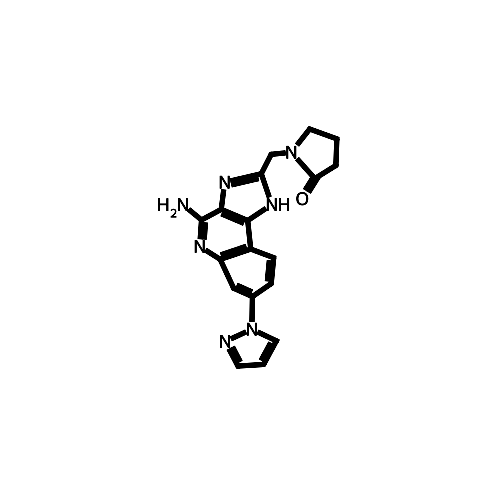 Nc1nc2cc(-n3cccn3)ccc2c2[nH]c(CN3CCCC3=O)nc12